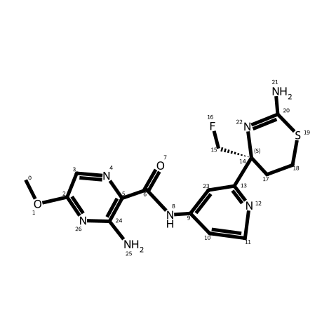 COc1cnc(C(=O)Nc2ccnc([C@]3(CF)CCSC(N)=N3)c2)c(N)n1